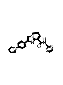 O=C(Nc1nccs1)c1cccn2cc(-c3ccc(N4CCCC4)cc3)nc12